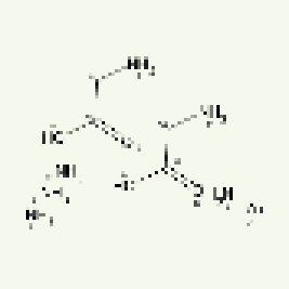 N.N.N.N.NCC(=O)O.NCC(=O)O.[Zn]